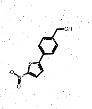 O=[N+]([O-])c1ccc(-c2ccc(CO)cc2)s1